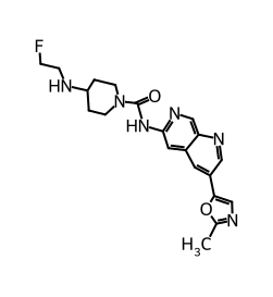 Cc1ncc(-c2cnc3cnc(NC(=O)N4CCC(NCCF)CC4)cc3c2)o1